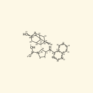 O=C(O)N1CCC(Nc2ncnc3ccccc23)[C@H]1C1C2CC3C[C@H]1C[C@@](O)(C3)C2